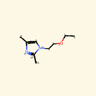 CCOCCn1cc(C)nc1C